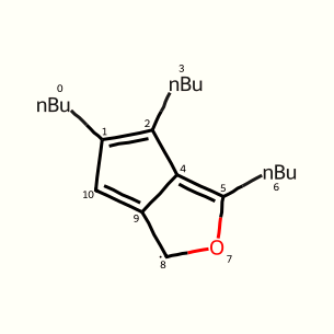 CCCCC1=C(CCCC)C2=C(CCCC)O[CH]C2=C1